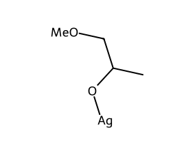 COCC(C)[O][Ag]